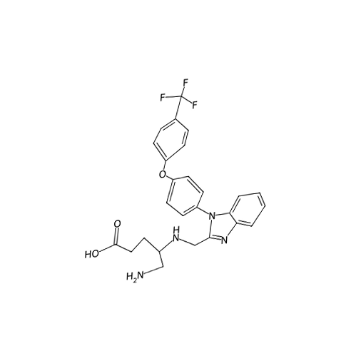 NCC(CCC(=O)O)NCc1nc2ccccc2n1-c1ccc(Oc2ccc(C(F)(F)F)cc2)cc1